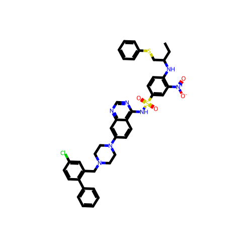 CCC(CSc1ccccc1)Nc1ccc(S(=O)(=O)Nc2ncnc3cc(N4CCN(Cc5cc(Cl)ccc5-c5ccccc5)CC4)ccc23)cc1[N+](=O)[O-]